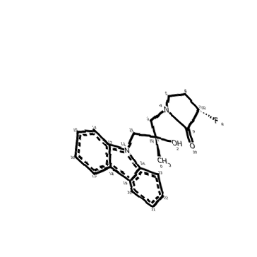 C[C@](O)(CN1CC[C@H](F)C1=O)Cn1c2ccccc2c2ccccc21